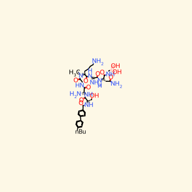 CCCCc1ccc(-c2ccc(C(=O)N[C@H](CO)C(=O)N[C@H](N)C(=O)NCC(=O)N(C)[C@@H](CCCCN)C(=O)N[C@@H](N)C(=O)N[C@@H](CC(N)=O)C(=O)NCB(O)O)cc2)cc1